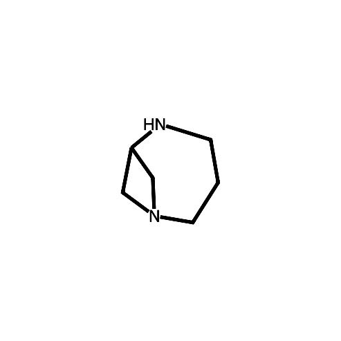 C1CNC2CN(C1)C2